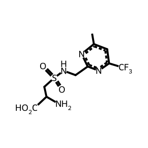 Cc1cc(C(F)(F)F)nc(CNS(=O)(=O)CC(N)C(=O)O)n1